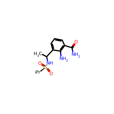 CC(NS(=O)(=O)C(C)C)c1cccc(C(N)=O)c1N